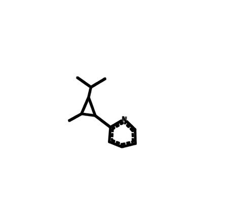 CC(C)C1C(C)C1c1ccccn1